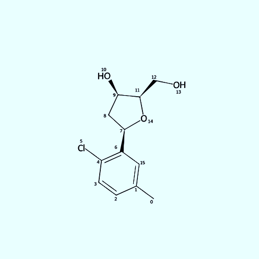 Cc1ccc(Cl)c([C@H]2C[C@@H](O)[C@@H](CO)O2)c1